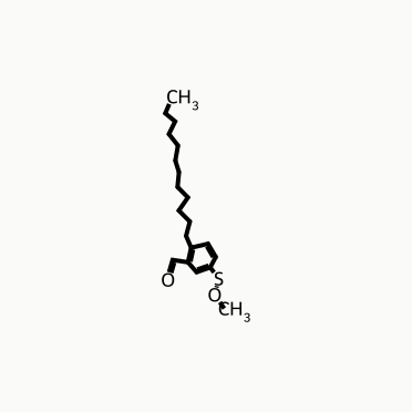 CCCCCCCCCCCCc1ccc(SOC)cc1C=O